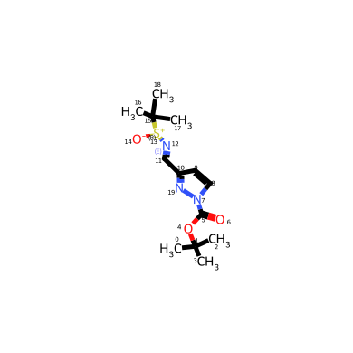 CC(C)(C)OC(=O)n1ccc(/C=N/[S@@+]([O-])C(C)(C)C)n1